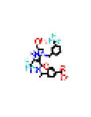 COC(=O)c1ccc(C(C)NC(=O)c2c(C(F)(F)F)nn3c2N(Cc2cccc(C(F)(F)F)c2)CC3CO)cc1